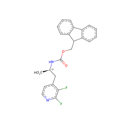 O=C(N[C@@H](Cc1ccnc(F)c1F)C(=O)O)OCC1c2ccccc2-c2ccccc21